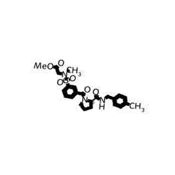 COC(=O)CN(C)S(=O)(=O)c1cccc(C(=O)N2CCC[C@@H]2C(=O)NCc2ccc(C)cc2)c1